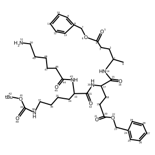 CC(CCC(=O)OCc1ccccc1)NC(=O)C(CCC(=O)OCc1ccccc1)NC(=O)C(CCCCNC(=O)OC(C)(C)C)NC(=O)CCCCCN